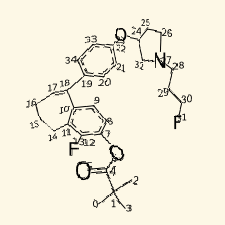 CC(C)(C)C(=O)Oc1ccc2c(c1F)CCCC=C2c1ccc(OC2CCN(CCCF)C2)cc1